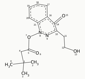 CC(C)(C)CC(=O)On1nc(CCO)c(=O)c2ccccc21